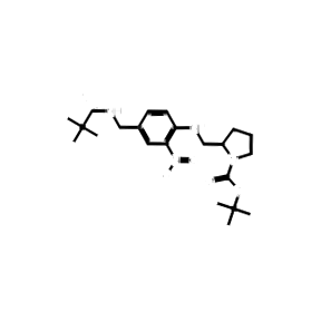 C[C@H](NCc1ccc(NCC2CCCN2C(=O)OC(C)(C)C)c([N+](=O)[O-])c1)C(C)(C)C